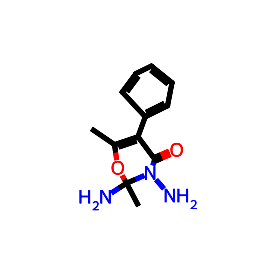 CC1=C(c2ccccc2)C(=O)N(N)C(C)(N)O1